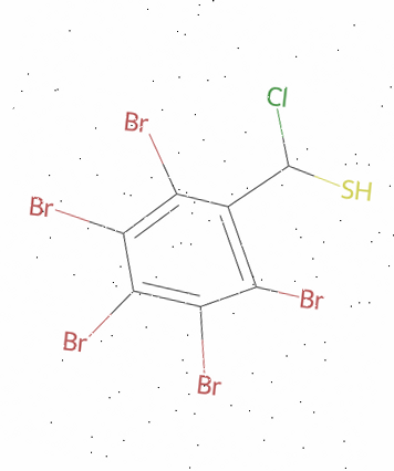 SC(Cl)c1c(Br)c(Br)c(Br)c(Br)c1Br